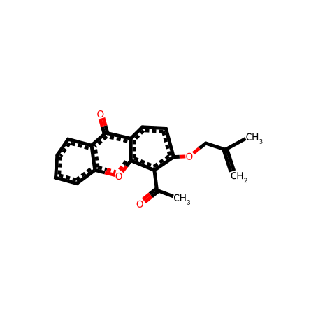 C=C(C)COc1ccc2c(=O)c3ccccc3oc2c1C(C)=O